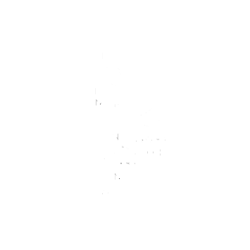 Cc1ccc(S(=O)(=O)O)cc1.N[C@H](Cc1cc(F)c(F)cc1F)C1CCN(C(=O)C2(C(=O)N3CCOCC3)CC2)CC1